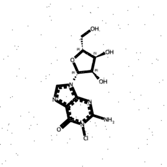 Nc1nc2c(ncn2[C@@H]2O[C@H](CO)[C@@H](O)[C@H]2O)c(=O)n1Cl